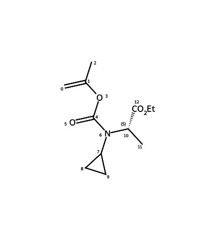 C=C(C)OC(=O)N(C1CC1)[C@@H](C)C(=O)OCC